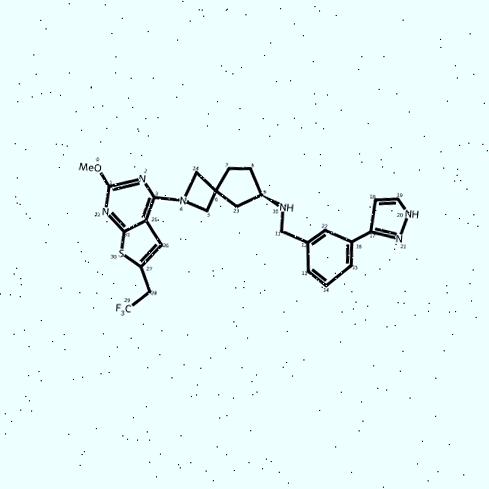 COc1nc(N2CC3(CC[C@@H](NCc4cccc(-c5cc[nH]n5)c4)C3)C2)c2cc(CC(F)(F)F)sc2n1